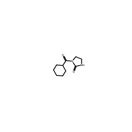 O=C1NCCN1C(=O)C1CCCCC1